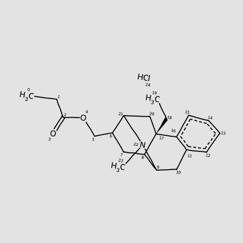 CCC(=O)OCC1CC2C3Cc4ccccc4[C@@]2(CC)CC1N3C.Cl